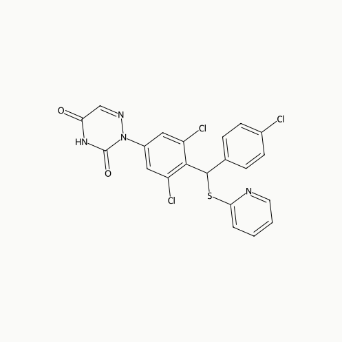 O=c1cnn(-c2cc(Cl)c(C(Sc3ccccn3)c3ccc(Cl)cc3)c(Cl)c2)c(=O)[nH]1